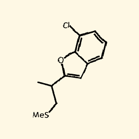 CSCC(C)c1cc2cccc(Cl)c2o1